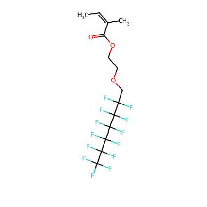 CC=C(C)C(=O)OCCOCC(F)(F)C(F)(F)C(F)(F)C(F)(F)C(F)(F)C(F)(F)F